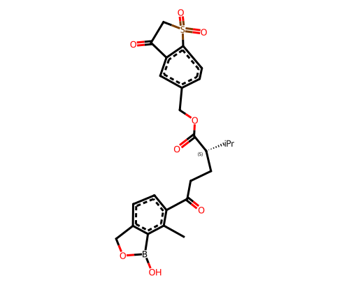 Cc1c(C(=O)CC[C@H](C(=O)OCc2ccc3c(c2)C(=O)CS3(=O)=O)C(C)C)ccc2c1B(O)OC2